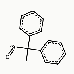 C[C]([Sn]=[O])(c1ccccc1)c1ccccc1